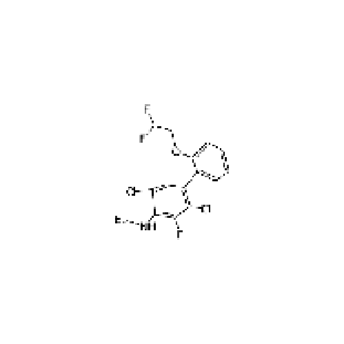 CCNc1c(Cl)cc(-c2ccccc2OCC(F)F)c(Cl)c1F